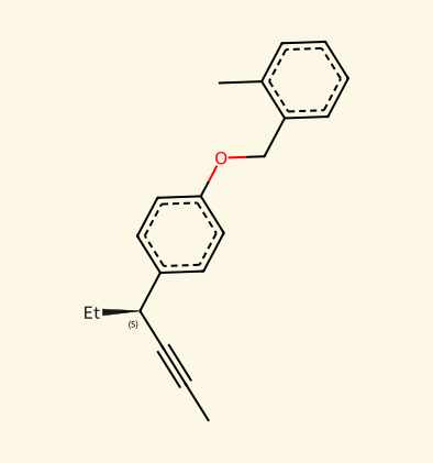 CC#C[C@@H](CC)c1ccc(OCc2ccccc2C)cc1